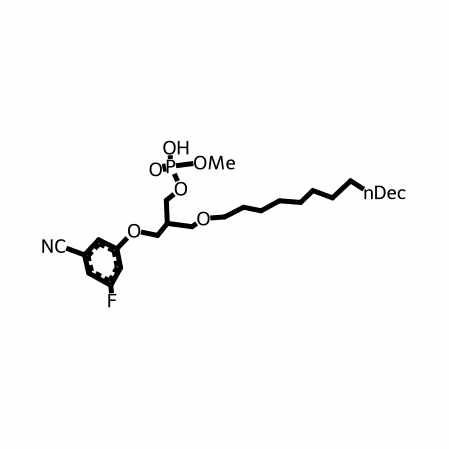 CCCCCCCCCCCCCCCCCCOCC(COc1cc(F)cc(C#N)c1)COP(=O)(O)OC